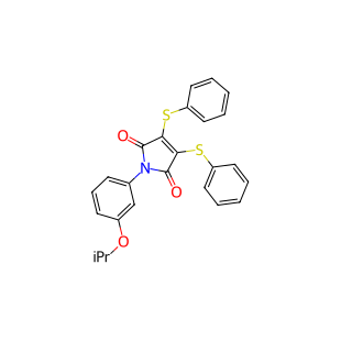 CC(C)Oc1cccc(N2C(=O)C(Sc3ccccc3)=C(Sc3ccccc3)C2=O)c1